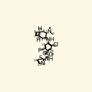 CN(C)[C@H]1C[C@@H]2C=C[C@@H]2C[C@@H]1Nc1cc(F)c(S(=O)(=O)Nc2nccs2)cc1Cl